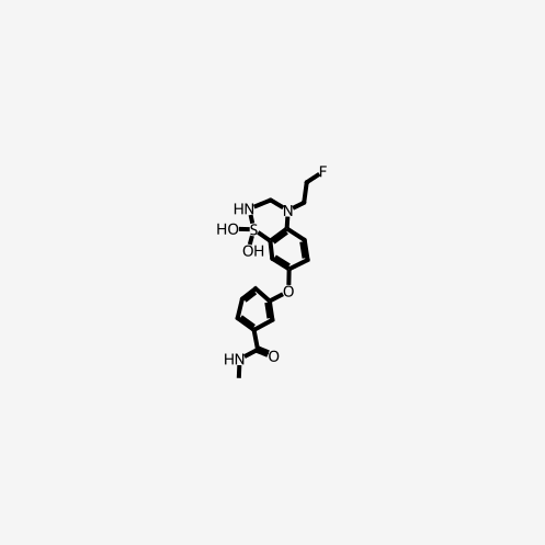 CNC(=O)c1cccc(Oc2ccc3c(c2)S(O)(O)NCN3CCF)c1